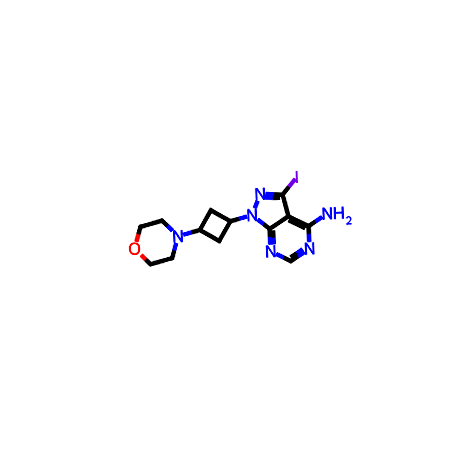 Nc1ncnc2c1c(I)nn2C1CC(N2CCOCC2)C1